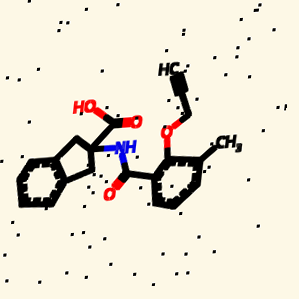 C#CCOc1c(C)cccc1C(=O)NC1(C(=O)O)Cc2ccccc2C1